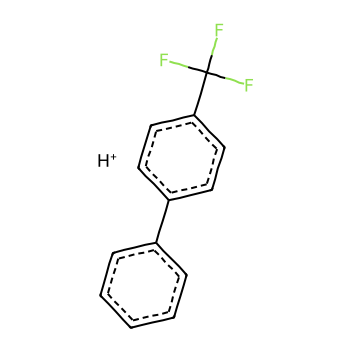 FC(F)(F)c1ccc(-c2ccccc2)cc1.[H+]